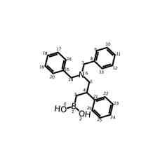 OB(O)CC(CN(Cc1ccccc1)Cc1ccccc1)c1ccccc1